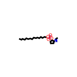 CCCCCCCCCCCCCCCCOP(=O)(OC)O[C@H]1CCC[C@@H]1N(C)CC